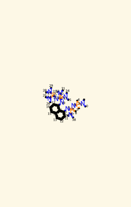 CN(C)P(C)(C)=NP(C)(=Nc1cccc2cccc(N=P(N=P(C)(N(C)C)N(C)C)(N(C)C)N(C)C)c12)N(C)C